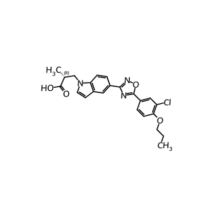 CCCOc1ccc(-c2nc(-c3ccc4c(ccn4C[C@@H](C)C(=O)O)c3)no2)cc1Cl